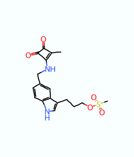 Cc1c(NCc2ccc3[nH]cc(CCCOS(C)(=O)=O)c3c2)c(=O)c1=O